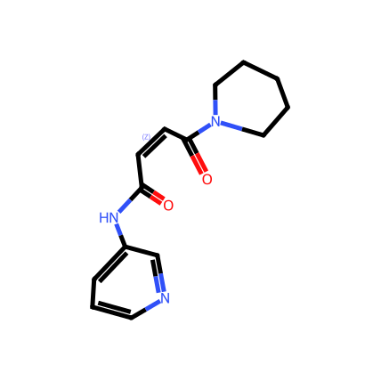 O=C(/C=C\C(=O)N1CCCCC1)Nc1cccnc1